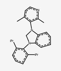 Cc1ccnc(C)c1N1CN(c2c(C(C)C)cccc2C(C)C)c2ccccc21